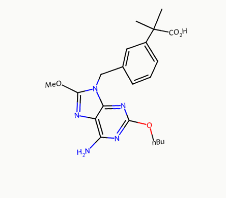 CCCCOc1nc(N)c2nc(OC)n(Cc3cccc(C(C)(C)C(=O)O)c3)c2n1